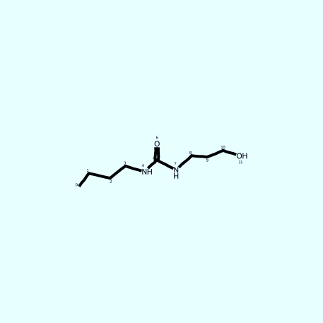 CCCCNC(=O)NCCCO